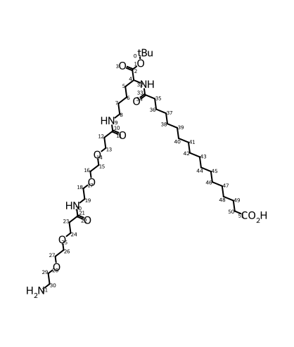 CC(C)(C)OC(=O)C(CCCCNC(=O)CCOCCOCCNC(=O)CCOCCOCCN)NC(=O)CCCCCCCCCCCCCCCCC(=O)O